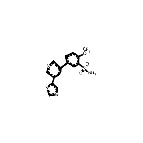 NS(=O)(=O)c1cc(-c2cncc(-c3cncs3)c2)ccc1OC(F)(F)F